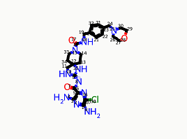 Nc1nc(N)c(C(=O)/N=C2\NCC3(CCN(C(=O)NCc4ccc(CN5CCOCC5)cc4)CC3)N2)nc1Cl